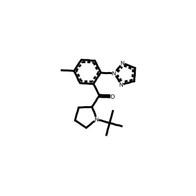 Cc1ccc(-n2nccn2)c(C(=O)C2CCCN2C(C)(C)C)c1